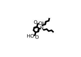 CCCCCN(CCCCC)C1=CC(C(=O)O)CC=C1C(=O)O